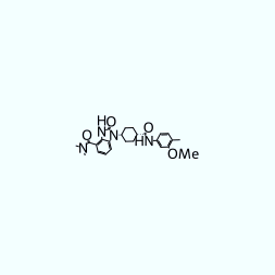 COc1cc(NC(=O)[C@H]2CC[C@@H](n3c(=O)[nH]c4c(C(=O)N(C)C)cccc43)CC2)ccc1C